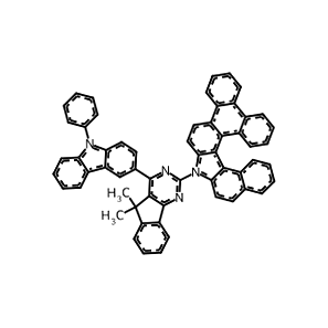 CC1(C)c2ccccc2-c2nc(-n3c4ccc5ccccc5c4c4c5c6ccccc6c6ccccc6c5ccc43)nc(-c3ccc4c(c3)c3ccccc3n4-c3ccccc3)c21